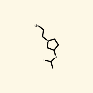 CC(F)OC1CCN(CCC(C)(C)C)C1